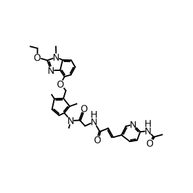 CCOc1nc2c(OCc3c(C)ccc(N(C)C(=O)CNC(=O)C=Cc4ccc(NC(C)=O)nc4)c3C)cccc2n1C